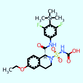 CCOc1ccc2c(c1)CCN(S(=O)(=O)NC(=O)O)[C@H]2C(=O)Nc1cc(F)c([Si](C)(C)C)c(F)c1